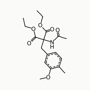 CCOC(=O)C(Cc1ccc(C)c(OC)c1)(NC(C)=O)C(=O)OCC